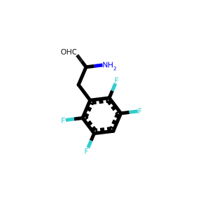 NC(C=O)Cc1c(F)c(F)cc(F)c1F